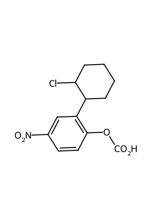 O=C(O)Oc1ccc([N+](=O)[O-])cc1C1CCCCC1Cl